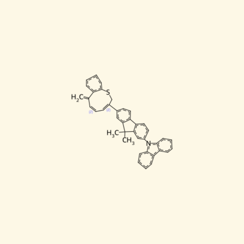 C=C1/C=C\C=C(\c2ccc3c(c2)C(C)(C)c2cc(-n4c5ccccc5c5ccccc54)ccc2-3)CSc2ccccc21